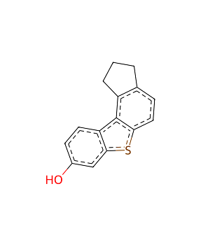 Oc1ccc2c(c1)sc1ccc3c(c12)CCC3